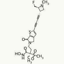 CN1C[C@H](C#CC#Cc2cc3c(s2)C(=O)N(CC[C@](C)(C(=O)NO)S(C)(=O)=O)C3)[C@H]1CF